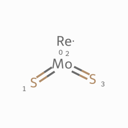 [Re].[S]=[Mo]=[S]